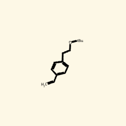 C=Cc1ccc(CCOC(C)(C)C)cc1